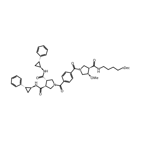 CCCCCCCCCCCCCCNC(=O)[C@@H]1CN(C(=O)c2ccc(C(=O)N3C[C@@H](C(=O)N[C@H]4C[C@@H]4c4ccccc4)[C@H](C(=O)N[C@H]4C[C@@H]4c4ccccc4)C3)cc2)C[C@@H]1OC